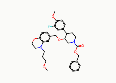 COCCCN1CCOc2ccc(COC3CN(C(=O)OCc4ccccc4)CCC3c3ccc(OC)c(F)c3)cc21